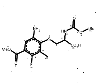 COC(=O)c1cc(N)c(SCC(NC(=O)OC(C)(C)C)C(=O)O)c(C)c1F